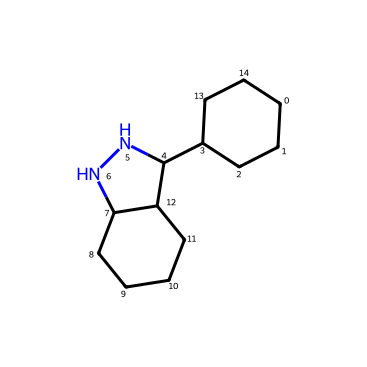 C1CCC(C2NNC3CCCCC32)CC1